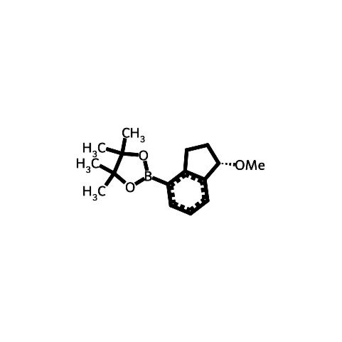 CO[C@H]1CCc2c(B3OC(C)(C)C(C)(C)O3)cccc21